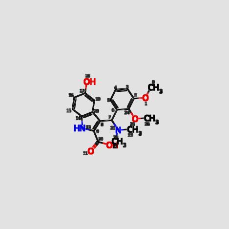 COc1cccc(C(c2c(C(=O)O)[nH]c3ccc(O)cc23)N(C)C)c1OC